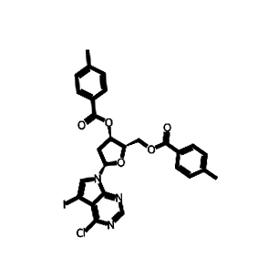 Cc1ccc(C(=O)OC[C@H]2O[C@@H](n3cc(I)c4c(Cl)ncnc43)C[C@H]2OC(=O)c2ccc(C)cc2)cc1